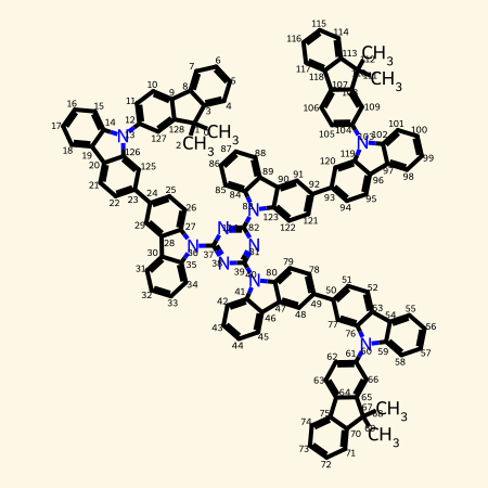 CC1(C)c2ccccc2-c2ccc(-n3c4ccccc4c4ccc(-c5ccc6c(c5)c5ccccc5n6-c5nc(-n6c7ccccc7c7cc(-c8ccc9c%10ccccc%10n(-c%10ccc%11c(c%10)C(C)(C)c%10ccccc%10-%11)c9c8)ccc76)nc(-n6c7ccccc7c7cc(-c8ccc9c%10ccccc%10n(-c%10ccc%11c(c%10)C(C)(C)c%10ccccc%10-%11)c9c8)ccc76)n5)cc43)cc21